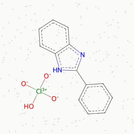 [O-][Cl+3]([O-])([O-])O.c1ccc(-c2nc3ccccc3[nH]2)cc1